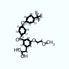 COCCOc1cc(CC(O)O)cc([S+]([O-])c2ccc(Oc3ccc(C(F)(F)F)cc3)cc2)c1